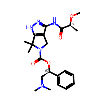 CO[C@@H](C)C(=O)Nc1n[nH]c2c1CN(C(=O)O[C@H](CN(C)C)c1ccccc1)C2(C)C